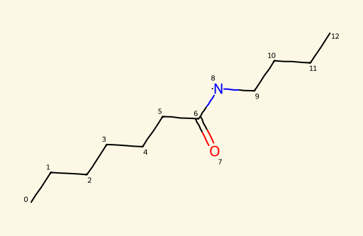 CCCCCCC(=O)[N]CCCC